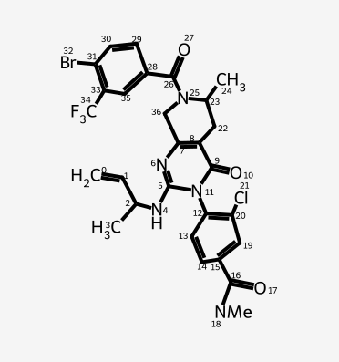 C=CC(C)Nc1nc2c(c(=O)n1-c1ccc(C(=O)NC)cc1Cl)CC(C)N(C(=O)c1ccc(Br)c(C(F)(F)F)c1)C2